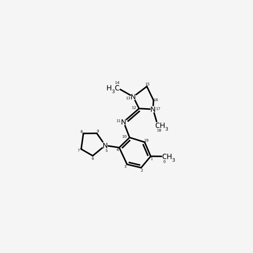 Cc1ccc(N2CCCC2)c(N=C2N(C)CCN2C)c1